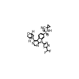 N#CC1(NS(=O)(=O)c2ccc3c4c(N5C[C@H]6C[C@@H]5CO6)ncnc4n(-c4nnc(C(F)F)s4)c3c2)CC1